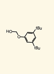 CC(C)(C)c1cc(OCO)cc(C(C)(C)C)c1